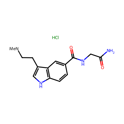 CNCCc1c[nH]c2ccc(C(=O)NCC(N)=O)cc12.Cl